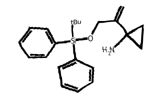 C=C(CO[Si](c1ccccc1)(c1ccccc1)C(C)(C)C)C1(N)CC1